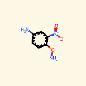 NOc1ccc(N)cc1[N+](=O)[O-]